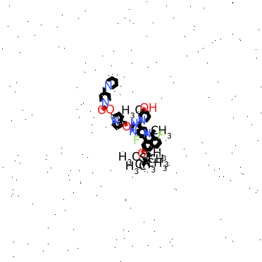 CCc1c(F)ccc2cc(O[Si](C(C)C)(C(C)C)C(C)C)cc(-c3ncc4c(N5CCC[C@@](C)(O)C5)nc(OC[C@@]56CCCN5[C@H](COC(=O)N5CCC(CN7CCCCC7)CC5)CC6)nc4c3F)c12